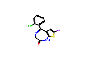 O=C1CN=C(c2ccccc2Cl)c2cc(I)sc2N1